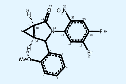 COc1ccccc1C1[C@H]2C[C@H]2C(=O)N1c1cc(Br)c(F)cc1[N+](=O)[O-]